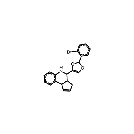 Brc1ccccc1C1OC=C(C2Nc3ccccc3C3C=CCC23)O1